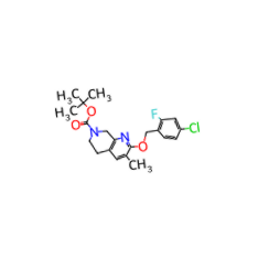 Cc1cc2c(nc1OCc1ccc(Cl)cc1F)CN(C(=O)OC(C)(C)C)CC2